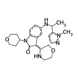 CC(Nc1ccc2c(c1)/C(=C1\COCCN1)C(=O)N2C1CCOCC1)c1ccnn1C